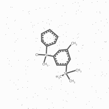 Cc1cc([Si](C)(C)C)cc([Si](C)(Cl)c2ccccc2)c1